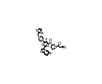 Cn1ccnc1CN1CCN(c2nc(-c3cnc4ccc(F)cn34)nc(N[C@@H]3CCCN(C(=O)CC#N)C3)c2F)CC1